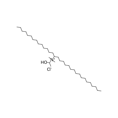 CCCCCCCCCCCCCCCCCC(CCCCCCCCCCCCCC)[N+](C)(C)C(C)O.[Cl-]